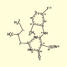 CCC(C)Cc1nc(Nc2cc(F)ccc2C)c(C#N)c(=O)[nH]1